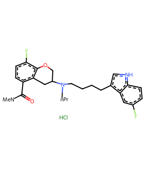 CCCN(CCCCc1c[nH]c2ccc(F)cc12)C1COc2c(F)ccc(C(=O)NC)c2C1.Cl